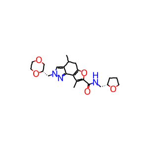 Cc1c(C(=O)NC[C@@H]2CCCO2)oc2c1-c1nn(C[C@H]3COCCO3)cc1C(C)C2